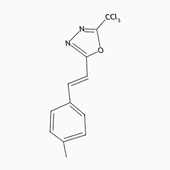 Cc1ccc(C=Cc2nnc(C(Cl)(Cl)Cl)o2)cc1